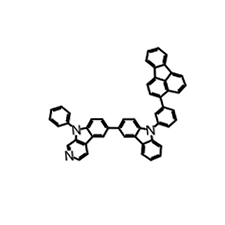 c1ccc(-n2c3ccc(-c4ccc5c(c4)c4ccccc4n5-c4cccc(-c5ccc6c7c(cccc57)-c5ccccc5-6)c4)cc3c3ccncc32)cc1